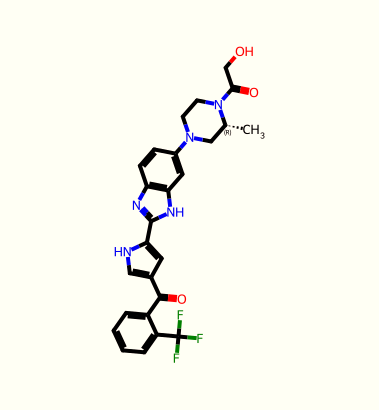 C[C@@H]1CN(c2ccc3nc(-c4cc(C(=O)c5ccccc5C(F)(F)F)c[nH]4)[nH]c3c2)CCN1C(=O)CO